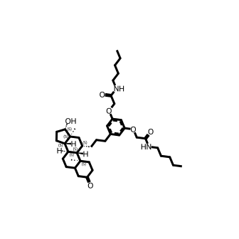 CCCCCNC(=O)COc1cc(CCC[C@H]2C[C@]3(C)[C@@H](O)CC[C@H]3[C@@H]3CCC4CC(=O)CC[C@]4(C)[C@@H]23)cc(OCC(=O)NCCCCC)c1